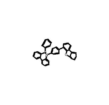 c1ccc(B2c3ccccc3-c3ccccc3N2c2ccc(-c3cccc4c3oc3ccccc34)cc2)cc1